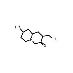 CCC1CC2CC(O)CCN2CC1=O